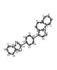 c1ccc2c(c1)ccc1c(-c3ccc(-c4nc5ccccc5o4)cc3)cnn12